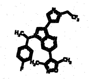 Cc1noc(C)c1-c1cnc2c(-c3cnn(CC(F)(F)F)c3)cn(C(C)c3ccc(F)cc3)c2c1